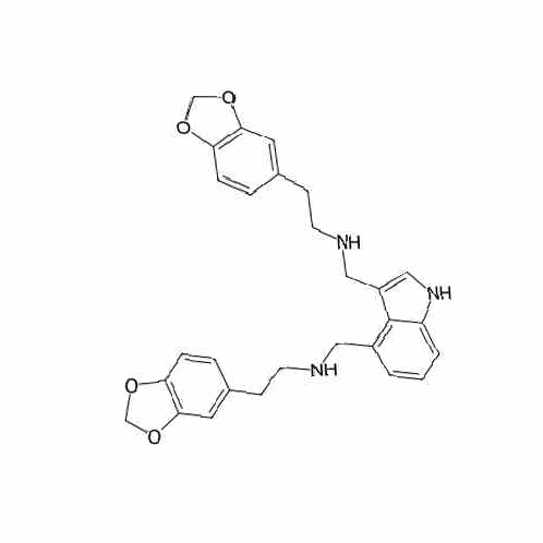 c1cc(CNCCc2ccc3c(c2)OCO3)c2c(CNCCc3ccc4c(c3)OCO4)c[nH]c2c1